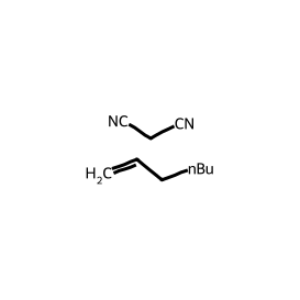 C=CCCCCC.N#CCC#N